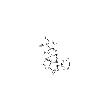 O=C(c1cnc(Nc2c(F)ccc(F)c2F)c2cccc(C3CC3)c12)N1CCOCC1